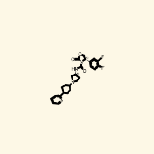 O=C(N[C@@H]1CCN(C2CCC(c3ccccn3)CC2)C1)N1C(=O)OC[C@@H]1c1ccc(F)c(F)c1